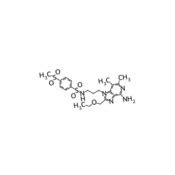 CCOCc1nc2c(N)nc(C)c(C)c2n1CCCNS(=O)(=O)c1ccc(S(C)(=O)=O)cc1